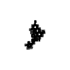 Cc1cc(I)ccc1Nc1c(C(=O)NOCc2cccs2)ccc(F)c1F